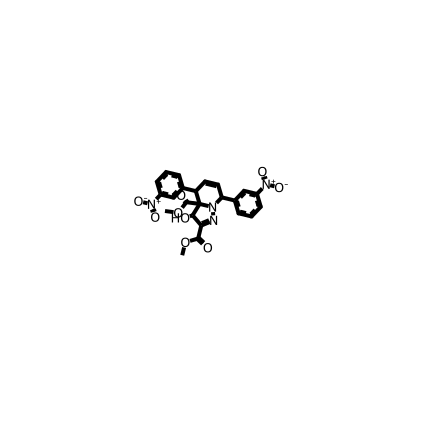 COC(=O)C1=NN2C(c3cccc([N+](=O)[O-])c3)C=CC(c3cccc([N+](=O)[O-])c3)C2(C(=O)OC)C1O